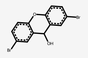 OC1c2cc(Br)ccc2Oc2ccc(Br)cc21